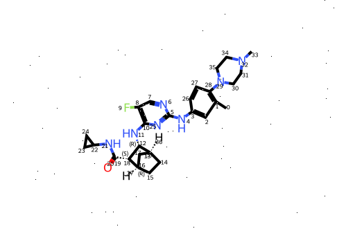 Cc1cc(Nc2ncc(F)c(N[C@@H]3[C@H]4CC[C@H](C4)[C@@H]3C(=O)NC3CC3)n2)ccc1N1CCN(C)CC1